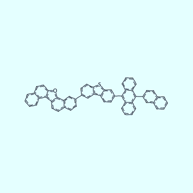 c1ccc2cc(-c3c4ccccc4c(-c4ccc5c(c4)sc4ccc(-c6ccc7ccc8c(oc9ccc%10ccccc%10c98)c7c6)cc45)c4ccccc34)ccc2c1